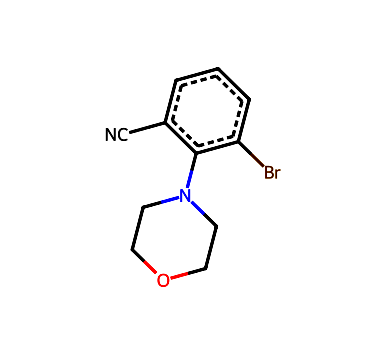 N#Cc1cccc(Br)c1N1CCOCC1